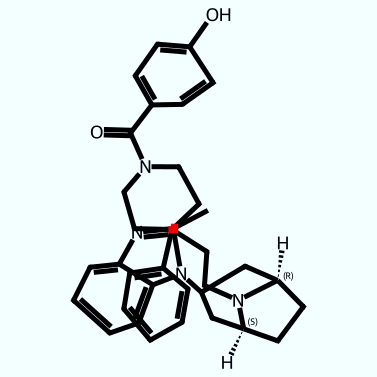 Cc1nc2ccccc2n1C1C[C@H]2CC[C@@H](C1)N2CCC1(c2ccccc2)CCN(C(=O)c2ccc(O)cc2)CC1